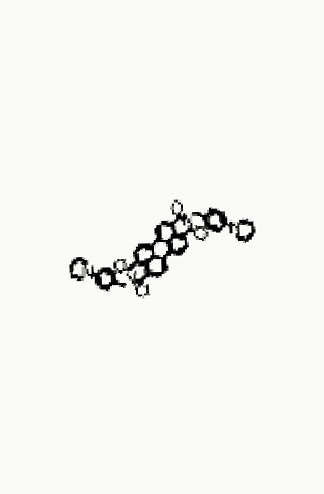 O=C1c2ccc3c4ccc5c6c(ccc(c7ccc(c2c37)C(=O)N1Cc1ccc(N2CCCCC2)cc1)c64)C(=O)N(Cc1ccc(N2CCCCC2)cc1)C5=O